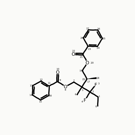 CCC(F)(F)C(C)(COC(=O)c1ccccc1)[C@H](C)COC(=O)c1ccccc1